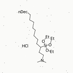 CCCCCCCCCCCCCCCCCCC(CCN(C)C)[Si](OCC)(OCC)OCC.Cl